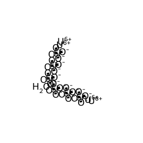 O.[O-][Si]([O-])([O-])[O-].[O-][Si]([O-])([O-])[O-].[O-][Si]([O-])([O-])[O-].[O-][Si]([O-])([O-])[O-].[O-][Si]([O-])([O-])[O-].[O-][Si]([O-])([O-])[O-].[U+6].[U+6].[U+6].[U+6]